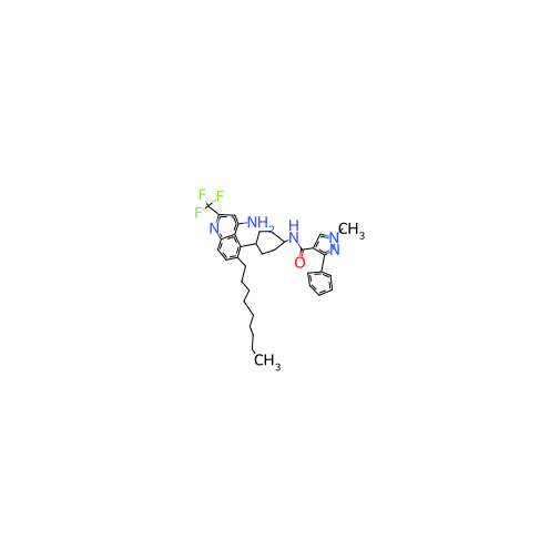 CCCCCCCCCc1ccc2nc(C(F)(F)F)cc(N)c2c1C1CCC(NC(=O)c2cn(C)nc2-c2ccccc2)CC1